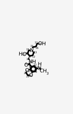 CNc1cc2c(c(C(=O)NC[C@@H]3CCN(CCCO)CC3O)c1)OCCO2